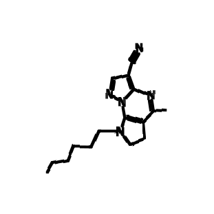 CCCCCCN1CCc2c(C)nc3c(C#N)cnn3c21